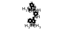 CN(C)c1nc(N[C@H]2CC[C@@H](NCc3ccc(N(C)C)c4ccccc34)CC2)nc2ccccc12